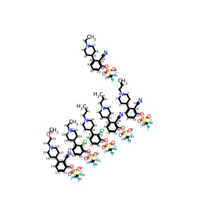 C=CCN1CCC(c2cccc(OS(=O)(=O)C(F)(F)F)c2C#N)CC1.CCCN1CCC(c2cccc(OS(=O)(=O)C(F)(F)F)c2C#N)CC1.CCCN1CCC(c2cccc(OS(=O)(=O)C(F)(F)F)c2Cl)CC1.CCN1CCC(c2cccc(OS(=O)(=O)C(F)(F)F)c2C#N)CC1.CCN1CCC(c2cccc(OS(=O)(=O)C(F)(F)F)c2Cl)CC1.COCCN1CCC(c2cccc(OS(=O)(=O)C(F)(F)F)c2C#N)CC1